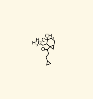 CCC1C(C)(C)CCC2CC21C(=O)CCC1CC1